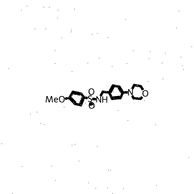 COc1ccc(S(=O)(=O)NCc2ccc(N3CCOCC3)cc2)cc1